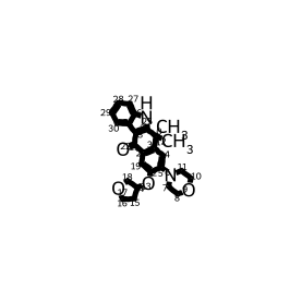 CC1(C)c2cc(N3CCOCC3)c(OC3CCOC3)cc2C(=O)c2c1[nH]c1ccccc21